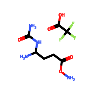 NOC(=O)CCC(N)NC(N)=O.O=C(O)C(F)(F)F